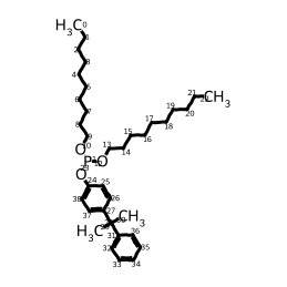 CCCCCCCCCCOP(OCCCCCCCCCC)Oc1ccc(C(C)(C)c2ccccc2)cc1